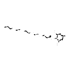 O=C(CCOCCOCCOCCOCCI)Oc1c(F)cc(F)cc1F